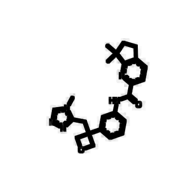 Cn1cnnc1CC1(c2cccc(NC(=O)c3ccc4c(n3)C(C)(C)CC4)c2)COC1